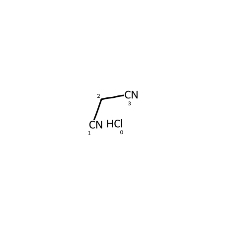 Cl.N#CCC#N